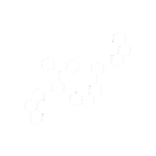 c1ccc(P(c2ccccc2)c2cc(-c3ccc4ccc5cccnc5c4n3)cc(-c3ccc4ccc5ccc(-c6cccc(-c7ccc8ccc9cccnc9c8n7)c6)nc5c4n3)c2)cc1